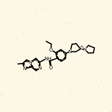 CCOc1cc(N2CC[C@@H](N3CCCC3)C2)ccc1C(=O)Nc1cn2cc(C)nc2cn1